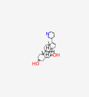 C[C@]12CC[C@@H](O)CC1=C[C@H](O)[C@@H]1[C@@H]2CC[C@]2(C)C(c3cccnc3)=CC[C@@H]12